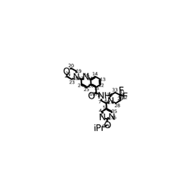 CC(C)Oc1ncc(C(CNC(=O)c2cccc3nc(N4CCOCC4)ccc23)N2CCC(F)(F)CC2)cn1